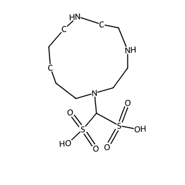 O=S(=O)(O)C(N1CCCCCNCCNCC1)S(=O)(=O)O